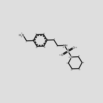 NCc1ccc(CCNS(=O)(=O)N2CCCCC2)cc1